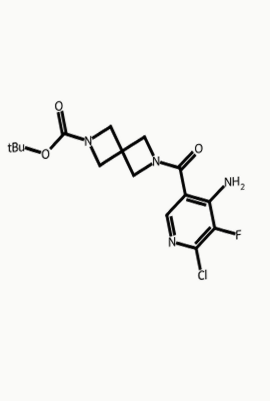 CC(C)(C)OC(=O)N1CC2(C1)CN(C(=O)c1cnc(Cl)c(F)c1N)C2